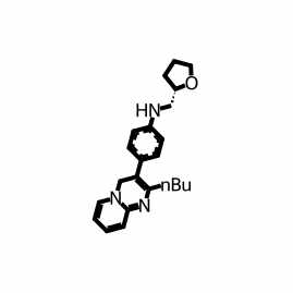 CCCCC1=C(c2ccc(NC[C@@H]3CCCO3)cc2)CN2C=CC=CC2=N1